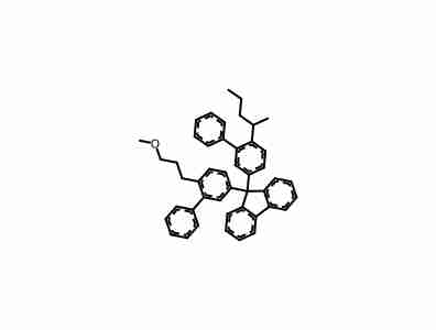 CCCC(C)c1ccc(C2(c3ccc(CCCOC)c(-c4ccccc4)c3)c3ccccc3-c3ccccc32)cc1-c1ccccc1